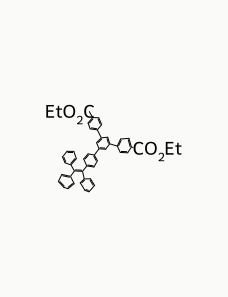 CCOC(=O)c1ccc(-c2cc(-c3ccc(C(=O)OCC)cc3)cc(-c3ccc(C(=C(c4ccccc4)c4ccccc4)c4ccccc4)cc3)c2)cc1